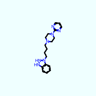 c1cnc(N2CCN(CCCCN3NNc4ccccc43)CC2)nc1